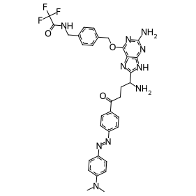 CN(C)c1ccc(N=Nc2ccc(C(=O)CCC(N)c3nc4c(OCc5ccc(CNC(=O)C(F)(F)F)cc5)nc(N)nc4[nH]3)cc2)cc1